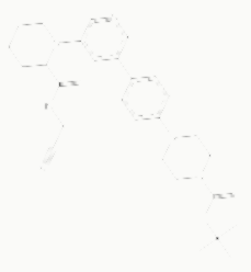 CC(C)(C)OC(=O)N1CCN(c2ccc(-c3cncc(N4CCCCC4C(=O)NCC#N)c3)cc2)CC1